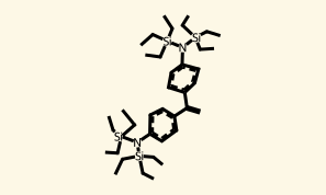 C=C(c1ccc(N([Si](CC)(CC)CC)[Si](CC)(CC)CC)cc1)c1ccc(N([Si](CC)(CC)CC)[Si](CC)(CC)CC)cc1